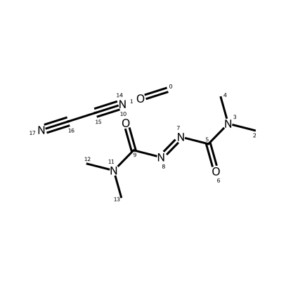 C=O.CN(C)C(=O)N=NC(=O)N(C)C.N#CC#N